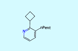 CCCCCc1cccnc1C1CCC1